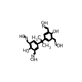 CC(C)(c1cc(C=NO)c(O)c(C=NO)c1)c1cc(C=NO)c(O)c(C=NO)c1